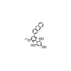 CCOc1cc(-c2ccc3c(c2)C=C2C=CC=CC2C3)nc(C2C(O)=CC(O)=CC2O)n1